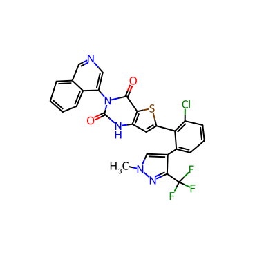 Cn1cc(-c2cccc(Cl)c2-c2cc3[nH]c(=O)n(-c4cncc5ccccc45)c(=O)c3s2)c(C(F)(F)F)n1